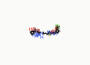 N=N/C(=C\NCCCCc1nnc(NC(=O)Cc2cccc(OC(F)(F)F)c2)s1)C(=O)NC(CO)c1ccccc1